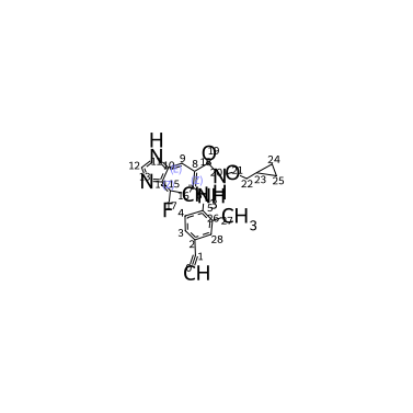 C#Cc1ccc(N/C=C(/C=c2/[nH]cn/c2=C(/C)F)C(=O)NOCC2CC2)c(C)c1